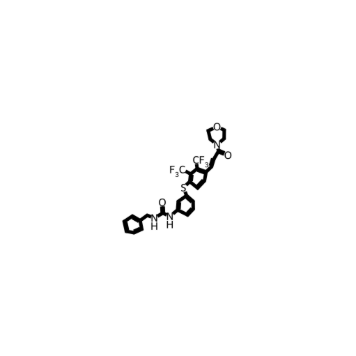 O=C(NCc1ccccc1)Nc1cccc(Sc2ccc(/C=C/C(=O)N3CCOCC3)c(C(F)(F)F)c2C(F)(F)F)c1